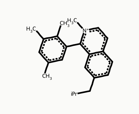 Cc1cc(C)c(C)c(-c2c3cc(CC(C)C)ccc3cc[n+]2C)c1